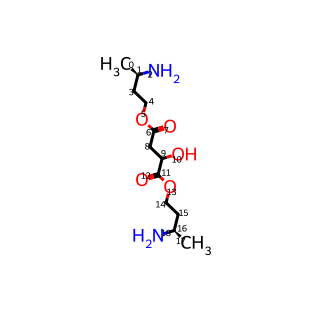 C[C@@H](N)CCOC(=O)CC(O)C(=O)OCC[C@@H](C)N